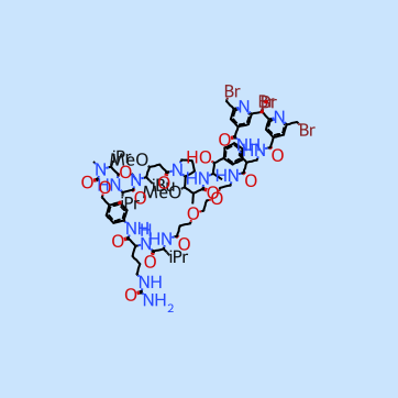 CCC(C)C(C(CC(=O)N1CCCC1C(OC)C(C)C(=O)NC(C)C(O)c1ccccc1)OC)N(C)C(=O)C(NC(=O)C(C(C)C)N(C)C(=O)OCc1ccc(NC(=O)C(CCCNC(N)=O)NC(=O)C(NC(=O)CCOCCOCCNC(=O)C(CNC(=O)c2cc(CBr)nc(CBr)c2)CNC(=O)c2cc(CBr)nc(CBr)c2)C(C)C)cc1)C(C)C